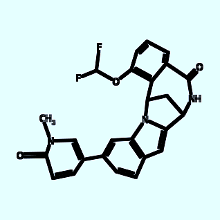 Cn1cc(-c2ccc3cc4n(c3c2)C2CC4NC(=O)c3cccc(OC(F)F)c32)ccc1=O